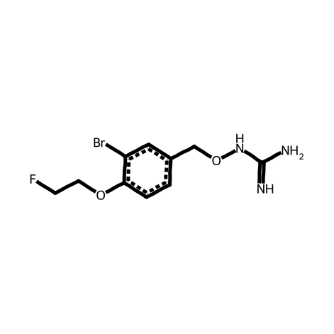 N=C(N)NOCc1ccc(OCCF)c(Br)c1